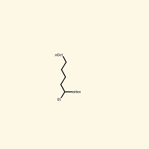 [CH2]CC(CCCCCC)CCCCCCCCCCCC